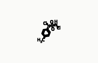 Cc1ccc(N(Cl)S(=O)(=O)NCl)cc1